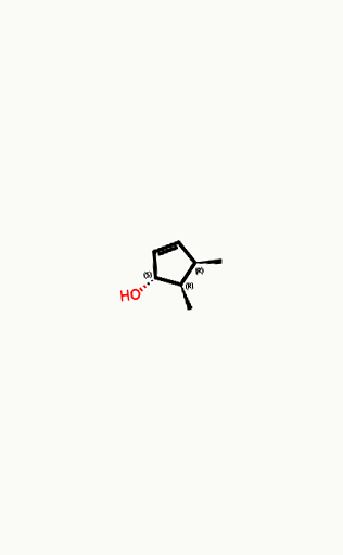 C[C@@H]1[C@H](C)C=C[C@H]1O